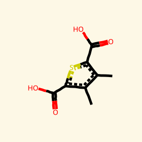 Cc1c(C(=O)O)sc(C(=O)O)c1C